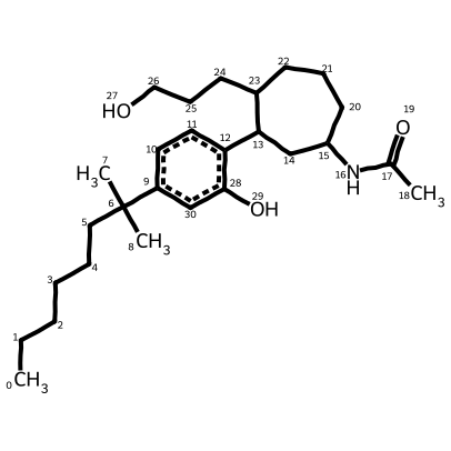 CCCCCCC(C)(C)c1ccc(C2CC(NC(C)=O)CCCC2CCCO)c(O)c1